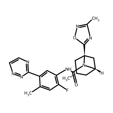 Cc1noc([C@@]23C[C@@H](C)C[C@@H](C2)N3C(=O)Nc2cc(-c3nccnn3)c(C)cc2F)n1